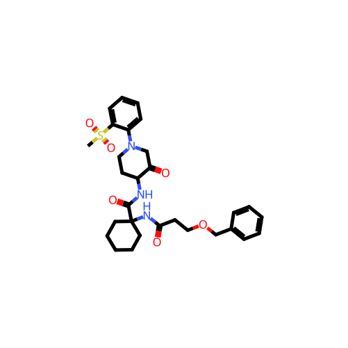 CS(=O)(=O)c1ccccc1N1CCC(NC(=O)C2(NC(=O)CCOCc3ccccc3)CCCCC2)C(=O)C1